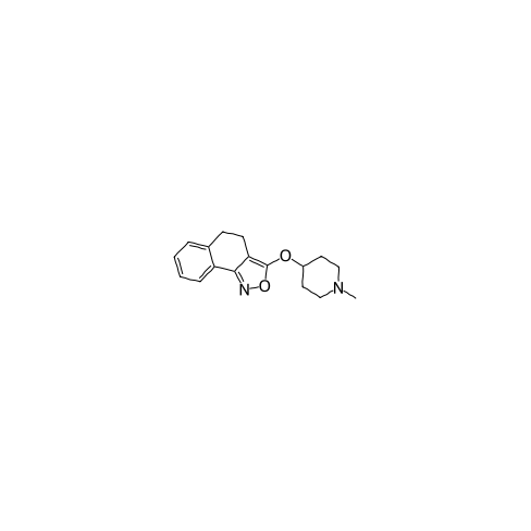 CN1CCC(Oc2onc3c2CCc2ccccc2-3)CC1